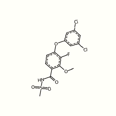 COc1c(C(=O)NS(C)(=O)=O)ccc(Oc2cc(Cl)cc(Cl)c2)c1F